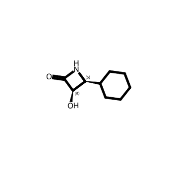 O=C1N[C@@H](C2CCCCC2)[C@H]1O